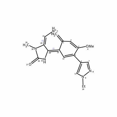 C=c1cc(OC)c(-c2cnn(CC)c2)c/c1=c1\[nH]c(=O)n(C)\c1=C\N